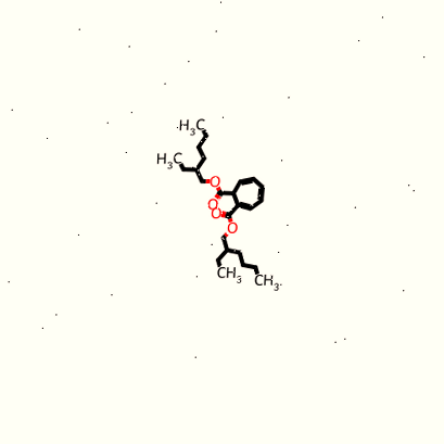 CCCCC(CC)COC(=O)C1=CC=CC=CC1C(=O)OCC(CC)CCCC